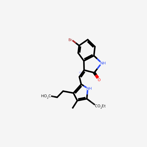 CCOC(=O)c1[nH]c(/C=C2\C(=O)Nc3ccc(Br)cc32)c(CCC(=O)O)c1C